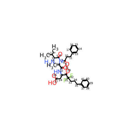 CC(C)[C@H](N)C(=O)N(C(=O)CCc1ccccc1)[C@@H](C)C(=O)NC(CC(=O)O)C(=O)C(F)(F)CCCc1ccccc1